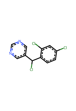 Clc1ccc(C(Cl)c2cncnc2)c(Cl)c1